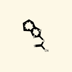 N#CC(=S)Sc1nc2ccccc2s1